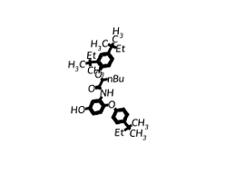 CCCCC(Oc1ccc(C(C)(C)CC)cc1C(C)(C)CC)C(=O)Nc1cc(O)ccc1Oc1ccc(C(C)(C)CC)cc1